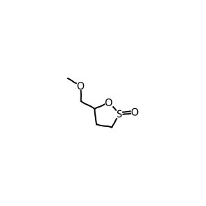 COCC1CCS(=O)O1